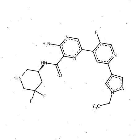 Nc1ncc(-c2cc(-c3cnn(CC(F)(F)F)c3)ncc2F)nc1C(=O)N[C@@H]1CNCC(F)(F)C1